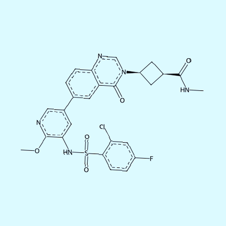 CNC(=O)[C@H]1C[C@@H](n2cnc3ccc(-c4cnc(OC)c(NS(=O)(=O)c5ccc(F)cc5Cl)c4)cc3c2=O)C1